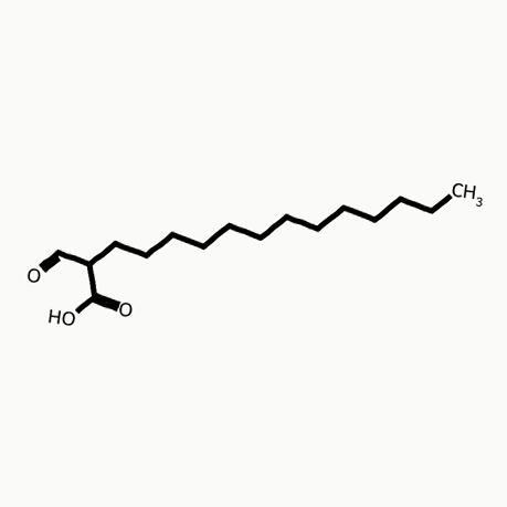 CCCCCCCCCCCCCC(C=O)C(=O)O